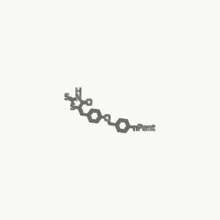 CCCCCc1ccc(COc2ccc(C=C3SC(=S)NC3=O)cc2)cc1